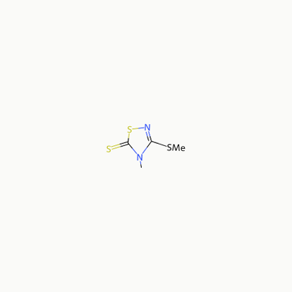 CSc1nsc(=S)n1C